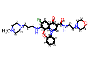 CN1CCN(CCCNc2c(F)cc3c(=O)c(C(=O)NCCN4CCOCC4)cn4c3c2Oc2ccccc2-4)CC1